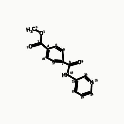 COC(=O)c1ccc(C(=O)Nc2cccnc2)cc1